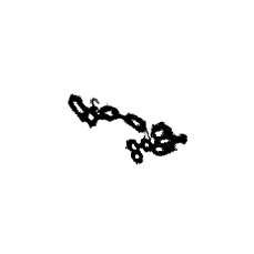 CC1(C)c2ccccc2-c2c(N(c3ccc(-c4ccc5sc6c7ccccc7ccc6c5c4)cc3)c3cccc(-c4cccc5ccccc45)c3)cccc21